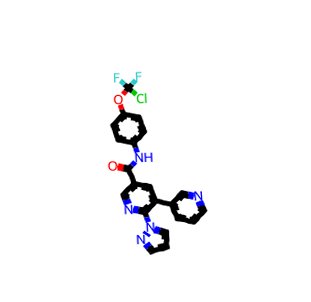 O=C(Nc1ccc(OC(F)(F)Cl)cc1)c1cnc(-n2cccn2)c(-c2cccnc2)c1